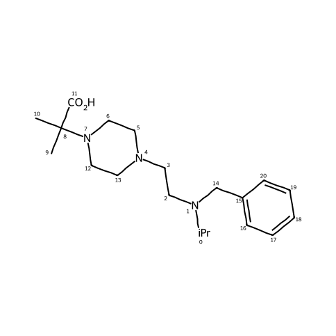 CC(C)N(CCN1CCN(C(C)(C)C(=O)O)CC1)Cc1ccccc1